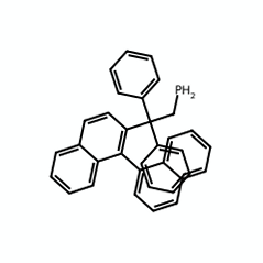 PCC(c1ccccc1)(c1ccccc1)c1ccc2ccccc2c1-c1cccc2ccccc12